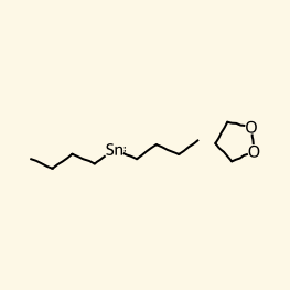 C1COOC1.CCC[CH2][Sn][CH2]CCC